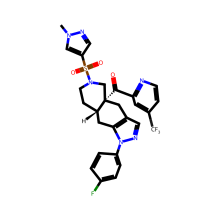 Cn1cc(S(=O)(=O)N2CC[C@H]3Cc4c(cnn4-c4ccc(F)cc4)C[C@]3(C(=O)c3cc(C(F)(F)F)ccn3)C2)cn1